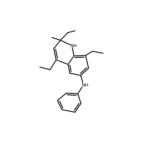 CCC1=CC(C)(CC)Nc2c(CC)cc(Nc3ccccc3)cc21